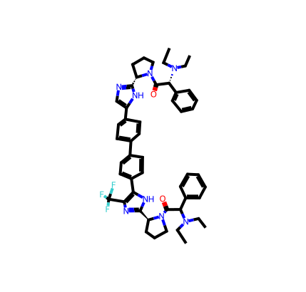 CCN(CC)C(C(=O)N1CCC[C@H]1c1nc(C(F)(F)F)c(-c2ccc(-c3ccc(-c4cnc([C@@H]5CCCN5C(=O)[C@@H](c5ccccc5)N(CC)CC)[nH]4)cc3)cc2)[nH]1)c1ccccc1